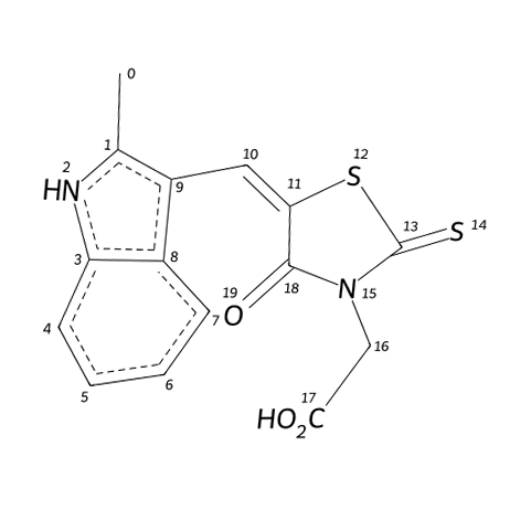 Cc1[nH]c2ccccc2c1C=C1SC(=S)N(CC(=O)O)C1=O